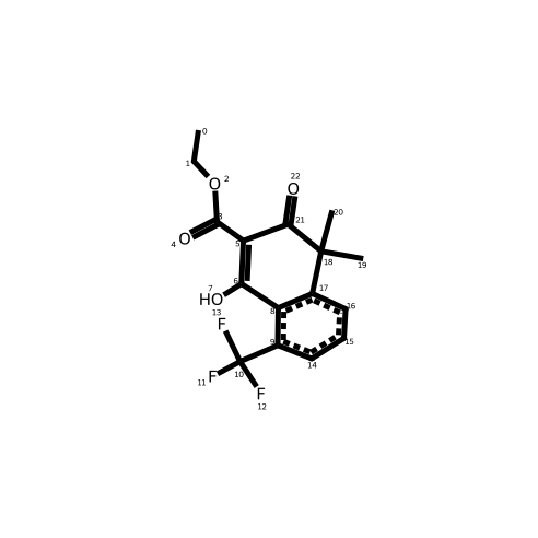 CCOC(=O)C1=C(O)c2c(C(F)(F)F)cccc2C(C)(C)C1=O